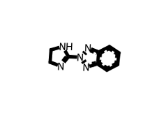 c1ccc2nn(C3=NCCN3)nc2c1